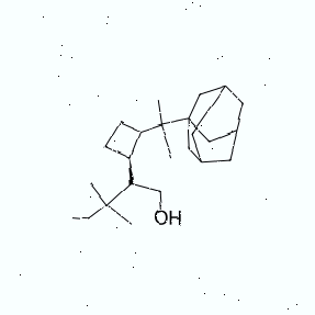 CCC(C)(C)C(CO)[C@H]1CCC1C(C)(C)C12CC3CC(CC(C3)C1)C2